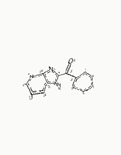 O=C(c1ccccc1)c1nc2ncccc2[nH]1